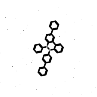 c1ccc(-c2ccc(B3c4ccccc4-c4cc(-c5ccccc5)ccc4N3c3ccccc3)cc2)cc1